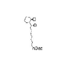 CCCCCCCCCCCCCCCCCC(=O)C1CCCCC1=O